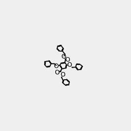 O=C(OCc1ccccc1)c1cc(OCc2ccccc2)c(C(=O)OCc2ccccc2)cc1OCc1ccccc1